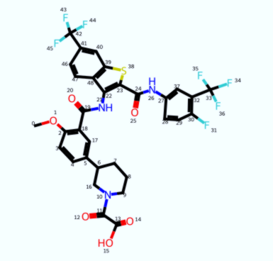 COc1ccc(C2CCCN(C(=O)C(=O)O)C2)cc1C(=O)Nc1c(C(=O)Nc2ccc(F)c(C(F)(F)F)c2)sc2cc(C(F)(F)F)ccc12